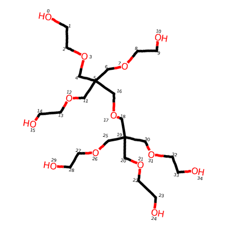 OCCOCC(COCCO)(COCCO)COCC(COCCO)(COCCO)COCCO